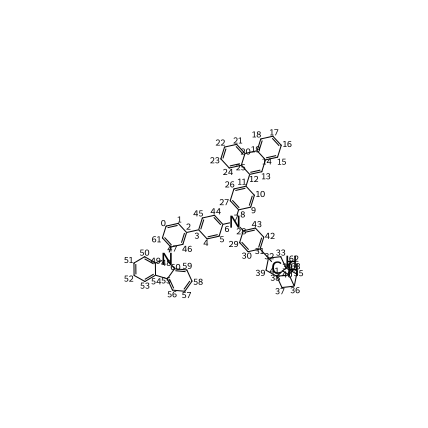 c1cc(-c2ccc(N(c3ccc(-c4cc5ccccc5c5ccccc45)cc3)c3ccc(C45C[C@@H]6CC7CC6(C4)[C@@H]7C5)cc3)cc2)cc(-n2c3ccccc3c3ccccc32)c1